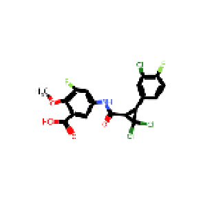 COc1c(F)cc(NC(=O)C2C(c3ccc(F)c(Cl)c3)C2(Cl)Cl)cc1C(=O)O